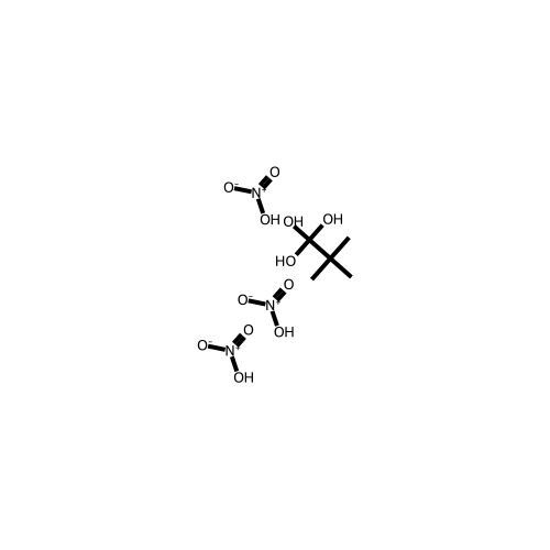 CC(C)(C)C(O)(O)O.O=[N+]([O-])O.O=[N+]([O-])O.O=[N+]([O-])O